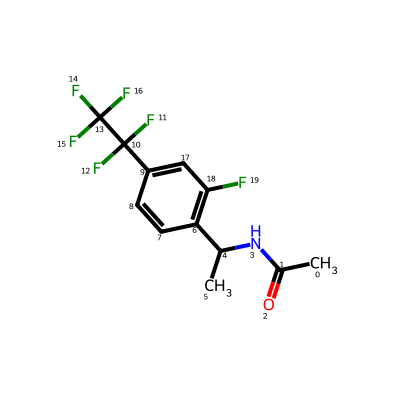 CC(=O)NC(C)c1ccc(C(F)(F)C(F)(F)F)cc1F